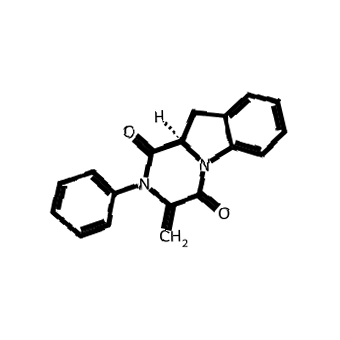 C=C1C(=O)N2c3ccccc3C[C@@H]2C(=O)N1c1ccccc1